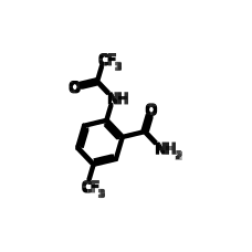 NC(=O)c1cc(C(F)(F)F)ccc1NC(=O)C(F)(F)F